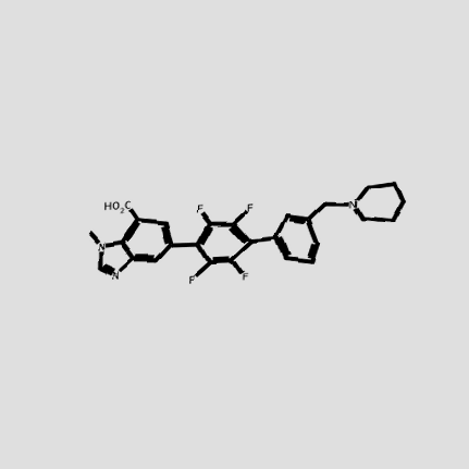 Cn1cnc2cc(-c3c(F)c(F)c(-c4cccc(CN5CCCCC5)c4)c(F)c3F)cc(C(=O)O)c21